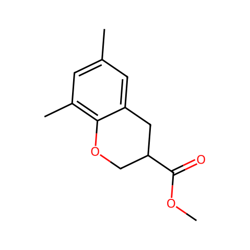 COC(=O)C1COc2c(C)cc(C)cc2C1